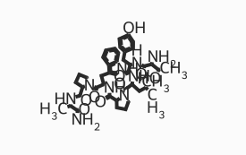 CC(C)CC(NC(=O)C(Cc1ccc(O)cc1)NC(=O)C(N)C(C)O)C(=O)N1CCCC1C(=O)NC(Cc1c[nH]c2ccccc12)C(=O)N1CCCC1C(=O)NC(C)C(N)=O